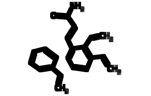 C=Cc1cccc(C=CC(N)=O)c1C=C.C=Cc1ccccc1